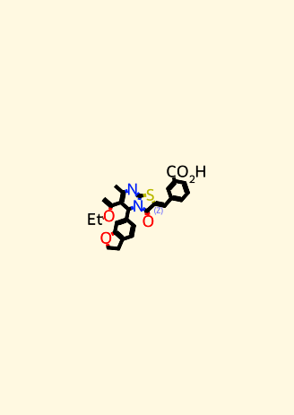 C=C(OCC)C1=C(C)N=c2s/c(=C\c3cccc(C(=O)O)c3)c(=O)n2C1c1ccc2c(c1)OCC2